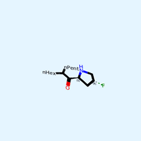 CCCCCCC(CCCCC)C(=O)[C@@H]1C[C@@H](F)CN1